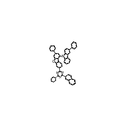 c1ccc(-c2cc(-n3c4ccccc4c4cc(-c5ccccc5)ccc43)c3c(c2)oc2cc(-c4nc(-c5ccccc5)nc(-c5ccc6ccccc6c5)n4)ccc23)cc1